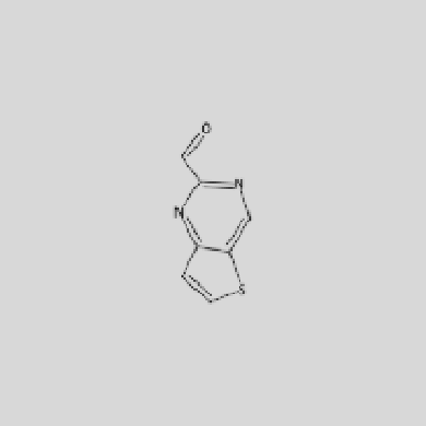 O=Cc1ncc2sccc2n1